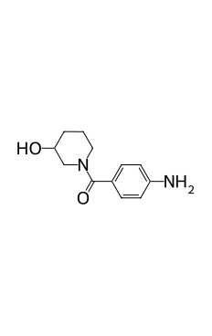 Nc1ccc(C(=O)N2CCCC(O)C2)cc1